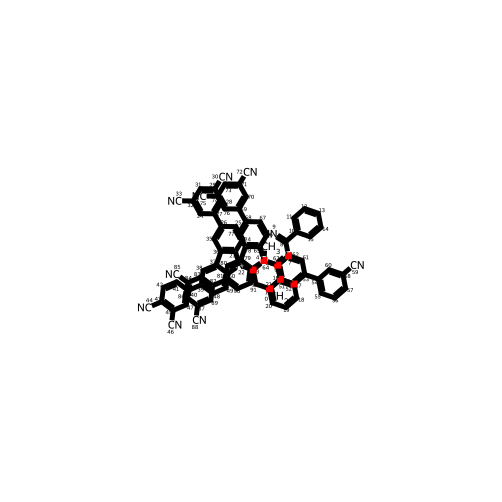 C=C(CC(N(C)/C(=N\C(=N)c1ccccc1)c1ccccc1)n1c2ccc(-c3cc(C#N)cc(C#N)c3)cc2c2cc(-c3ccc(C#N)c(C#N)c3)ccc21)c1cc(-c2cccc(C#N)c2)ccc1-n1c2ccc(-c3cc(C#N)cc(C#N)c3)cc2c2cc(-c3cc(C#N)cc(C#N)c3)ccc21